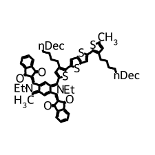 CCCCCCCCCCCCCCc1cc(C)sc1-c1cc2sc(-c3sc(-c4c5cc6c(=C7C(=O)c8ccccc8C7=O)n(CC)c(C)c6cc5c(=C5C(=O)c6ccccc6C5=O)n4CC)cc3CCCCCCCCCCCCCC)cc2s1